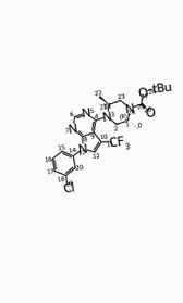 C[C@@H]1CN(c2ncnc3c2c(C(F)(F)F)cn3-c2cccc(Cl)c2)[C@@H](C)CN1C(=O)OC(C)(C)C